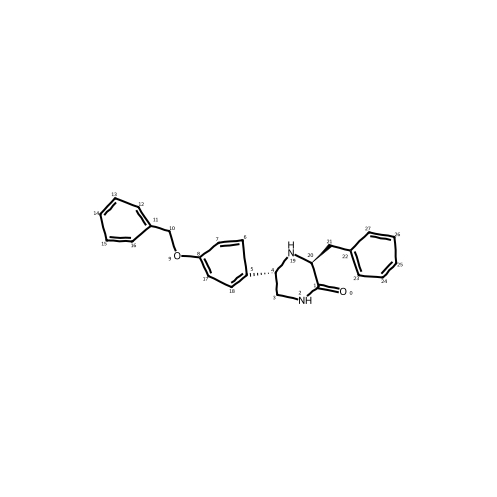 O=C1NC[C@H](c2ccc(OCc3ccccc3)cc2)N[C@H]1Cc1ccccc1